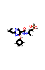 CC(C)=Cc1ncc(C(=O)NC(C)C=CS(C)(=O)=O)c(Oc2ccccc2)n1